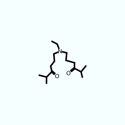 CCN(CCCC(=O)C(C)C)CCCC(=O)C(C)C